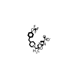 C[C@]1(CN2CCC(Cc3ccc(OC(F)(F)F)cc3)CC2)Cn2cc([N+](=O)[O-])nc2O1